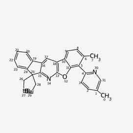 Cc1ccc(-c2c(C)ccc3c2oc2nc4c(cc23)-c2ccccc2C4(CC(C)(C)C)CC(C)(C)C)nc1